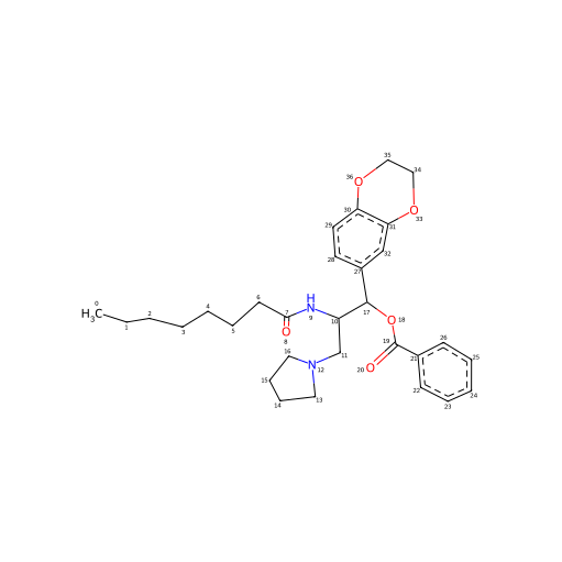 CCCCCCCC(=O)NC(CN1CCCC1)C(OC(=O)c1ccccc1)c1ccc2c(c1)OCCO2